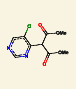 COC(=O)C(C(=O)OC)c1ncncc1Cl